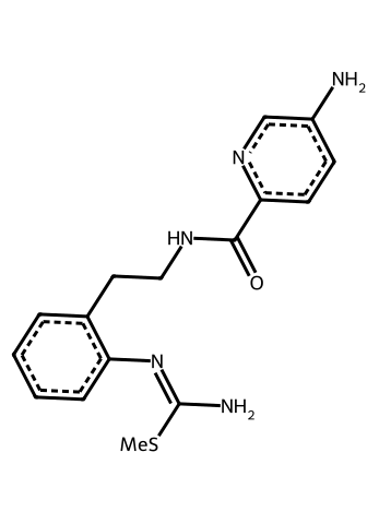 CS/C(N)=N\c1ccccc1CCNC(=O)c1ccc(N)cn1